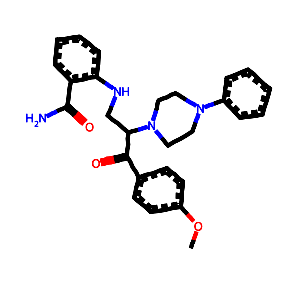 COc1ccc(C(=O)C(CNc2ccccc2C(N)=O)N2CCN(c3ccccc3)CC2)cc1